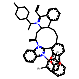 C=CC1=[N+](C(C)C2CCC(C)CC2)C2CC(=C)[n+]3c(n(-c4c(C(C)C)cccc4C(C)C)c4ccccc43)-c3c(ccc4c3oc3ccccc34)CCC2c2ccccc21